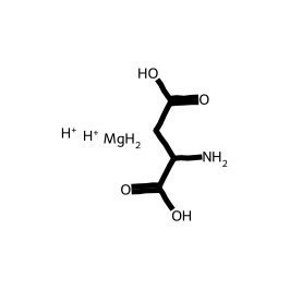 NC(CC(=O)O)C(=O)O.[H+].[H+].[MgH2]